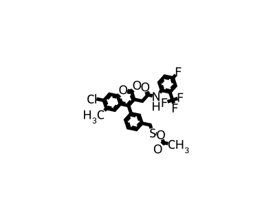 CC(=O)OSCc1cccc(-c2c(CC(=O)Nc3ccc(F)cc3C(F)(F)F)c(=O)oc3cc(Cl)c(C)cc23)c1